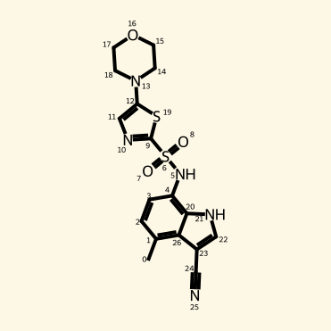 Cc1ccc(NS(=O)(=O)c2ncc(N3CCOCC3)s2)c2[nH]cc(C#N)c12